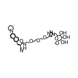 COC1OC(Cn2cc(COCCOCCOCCNC(=O)/C(C#N)=C\c3ccc4cc(N5CCCCC5)ccc4c3)nn2)C(O)C(O)C1O